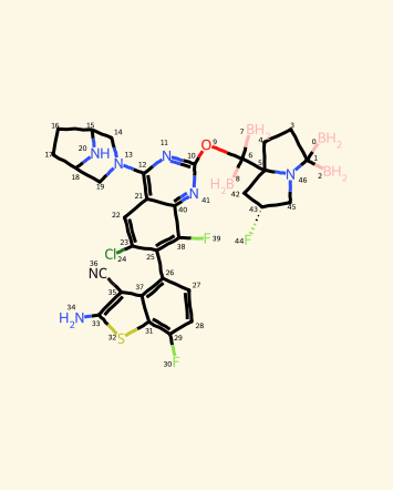 BC1(B)CCC2(C(B)(B)Oc3nc(N4CC5CCC(C4)N5)c4cc(Cl)c(-c5ccc(F)c6sc(N)c(C#N)c56)c(F)c4n3)C[C@@H](F)CN12